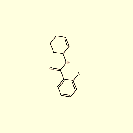 O=C(NC1C=CCCC1)c1ccccc1O